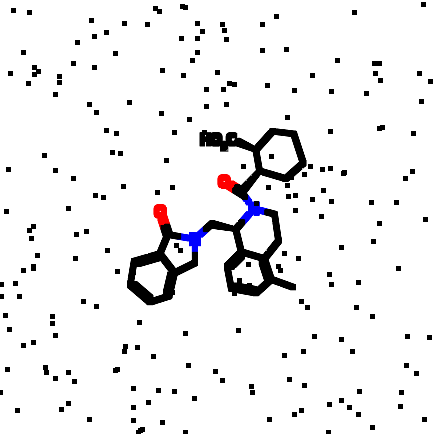 Cc1cccc2c1CCN(C(=O)[C@@H]1CCCC[C@@H]1C(=O)O)[C@@H]2CN1Cc2ccccc2C1=O